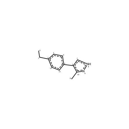 CCc1ccc(-c2c[nH]nc2C)cc1